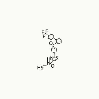 O=C(NCCS)c1csc(C2CCN(C(=O)c3ccccc3-c3ccc(C(F)(F)F)cc3)CC2)n1